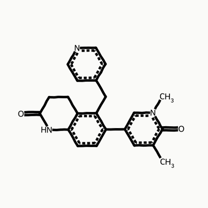 Cc1cc(-c2ccc3c(c2Cc2ccncc2)CCC(=O)N3)cn(C)c1=O